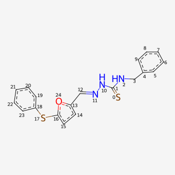 S=C(NCc1ccccc1)N/N=C/c1ccc(Sc2ccccc2)o1